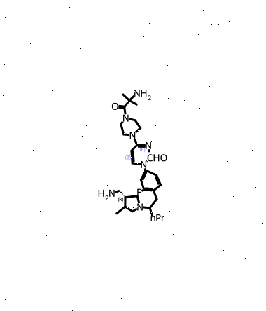 CCCC(Cc1ccc(N(C=O)/C=C\C(=N/C)N2CCN(C(=O)C(C)(C)N)CC2)cc1F)N1CC(C)[C@H](CN)C1